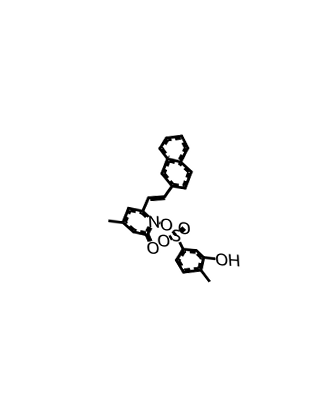 Cc1cc(C=Cc2ccc3ccccc3c2)n(OS(=O)(=O)c2ccc(C)c(O)c2)c(=O)c1